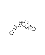 C[C@H](NC(=O)CNC(=O)OCc1ccccc1)C(=O)N[C@@H](Cc1ccccc1)C(=O)C(F)(F)F